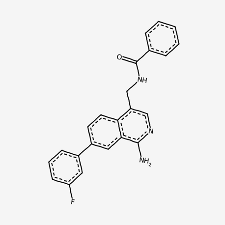 Nc1ncc(CNC(=O)c2ccccc2)c2ccc(-c3cccc(F)c3)cc12